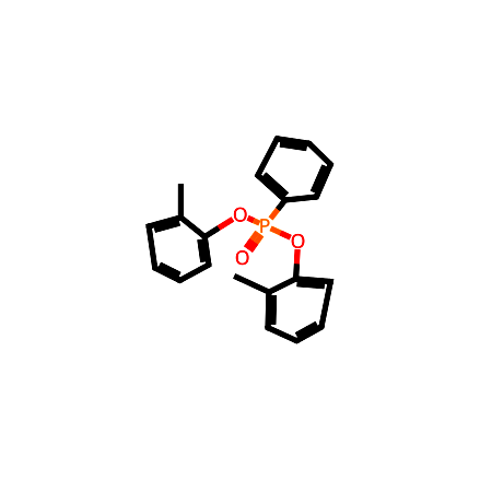 Cc1ccccc1OP(=O)(Oc1ccccc1C)c1ccccc1